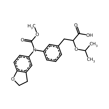 COC(=O)N(c1cccc(CC(OC(C)C)C(=O)O)c1)c1ccc2c(c1)CCO2